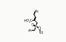 CCOP(=O)(C/C(=C/CC(C)C)C(=O)O)CC(C)C